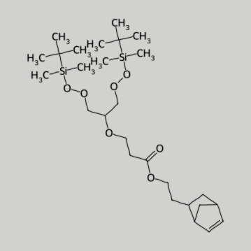 CC(C)(C)[Si](C)(C)OOCC(COO[Si](C)(C)C(C)(C)C)OCCC(=O)OCCC1CC2C=CC1C2